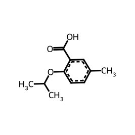 Cc1ccc(OC(C)C)c(C(=O)O)c1